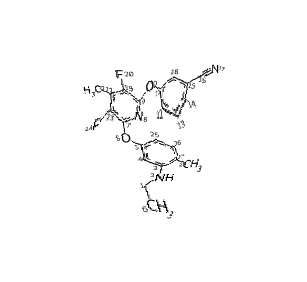 CCNc1cc(Oc2nc(Oc3cccc(C#N)c3)c(F)c(C)c2F)ccc1C